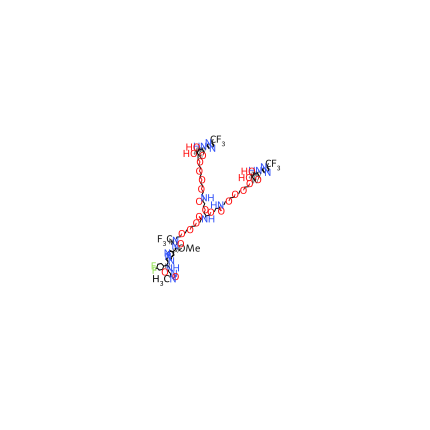 COC[C@H](c1cnn2cc([C@@H](NC(=O)c3nonc3C)C3CCC(F)(F)CC3)nc2c1)N1C[C@@H](C(F)(F)F)N(CCOCCOCCOCC(=O)NC(COCCC(=O)NCCOCCOCCOCCOC[C@H]2OC[C@H](Nc3cncc(C(F)(F)F)n3)[C@@H](O)[C@H]2O)COCCC(=O)NCCOCCOCCOCCOC[C@H]2OC[C@H](Nc3cncc(C(F)(F)F)n3)[C@@H](O)[C@H]2O)C1=O